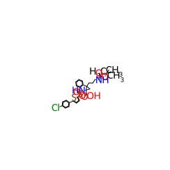 CC(C)(C)OC(=O)NCCCC1(c2ccccc2)CC1(NS(=O)(=O)c1ccc(-c2ccc(Cl)cc2)s1)C(=O)O